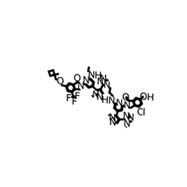 CCNc1cc(-c2c(-c3nncn3CCCNc3cc(-c4c(-c5nncn5C)cnn4C)cc(N4Cc5c(Cl)cc(O)cc5C4=O)n3)cnn2C)cc(N2Cc3c(cc(COCC4(C)CCC4)cc3C(F)(F)F)C2=O)n1